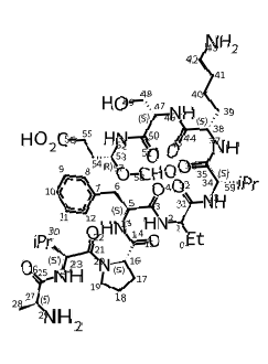 CCC(NC(=O)[C@H](Cc1ccccc1)NC(=O)[C@@H]1CCCN1C(=O)[C@@H](NC(=O)[C@H](C)N)C(C)C)C(=O)N[C@H](C(=O)N[C@@H](CCCCN)C(=O)N[C@@H](CO)C(=O)N[C@@H](CCC(=O)O)OC=O)C(C)C